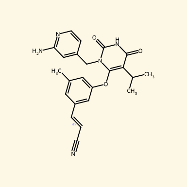 Cc1cc(/C=C/C#N)cc(Oc2c(C(C)C)c(=O)[nH]c(=O)n2Cc2ccnc(N)c2)c1